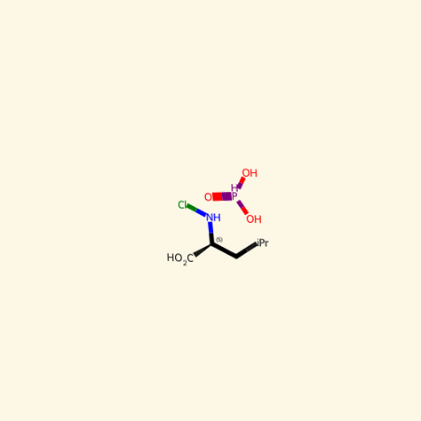 CC(C)C[C@H](NCl)C(=O)O.O=[PH](O)O